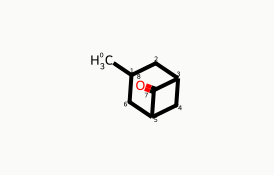 CC1CC2CC(C1)C2=O